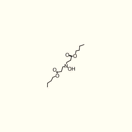 CCCCOC(=O)CCN(O)CCC(=O)OCCCC